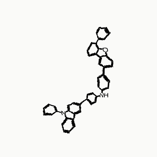 c1ccc(-c2cccc3c2oc2ccc(-c4ccc(Nc5ccc(-c6ccc7c(c6)c6ccccc6n7-c6ccccc6)cc5)cc4)cc23)cc1